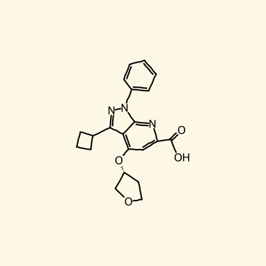 O=C(O)c1cc(O[C@@H]2CCOC2)c2c(C3CCC3)nn(-c3ccccc3)c2n1